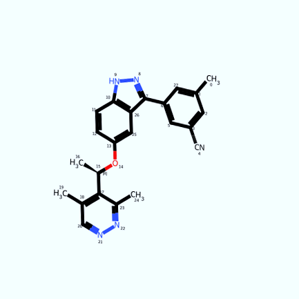 Cc1cc(C#N)cc(-c2n[nH]c3ccc(O[C@H](C)c4c(C)cnnc4C)cc23)c1